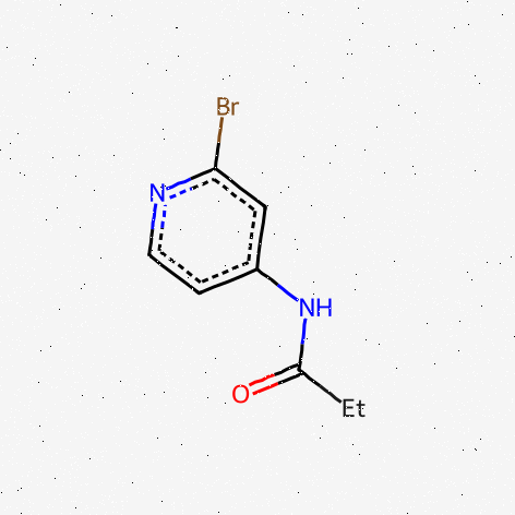 CCC(=O)Nc1ccnc(Br)c1